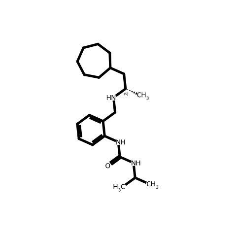 CC(C)NC(=O)Nc1ccccc1CN[C@@H](C)CC1CCCCCC1